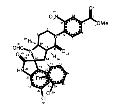 COC(=O)c1ccc(N2CC[C@H]3[C@@H](C2=O)[C@H](c2cccc(Cl)c2F)[C@]2(C(=O)Nc4cc(Cl)ccc42)N3C=O)c([N+](=O)[O-])c1